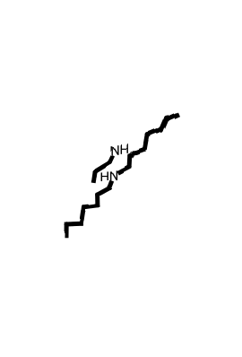 CCCCCCCNCCCCCCC.CCCN